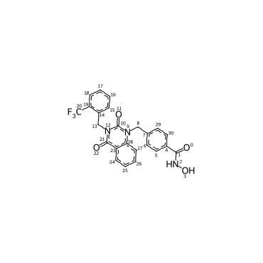 O=C(NO)c1ccc(Cn2c(=O)n(Cc3ccccc3C(F)(F)F)c(=O)c3ccccc32)cc1